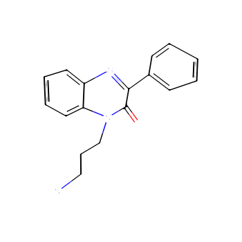 NCCCn1c(=O)c(-c2ccccc2)nc2ccccc21